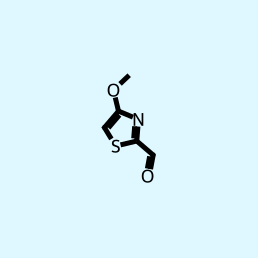 COc1csc(C=O)n1